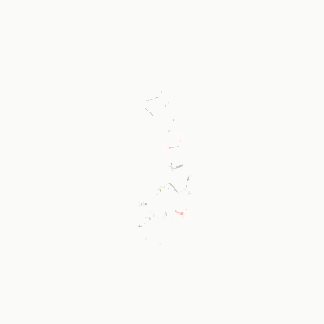 CC(C(=O)OCCc1ccccc1)c1ccc2c(c1)SCC1CCCCC1C2=O